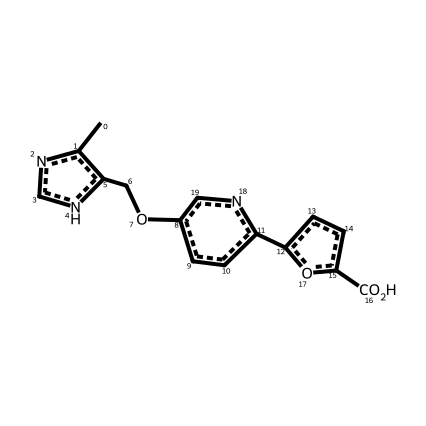 Cc1nc[nH]c1COc1ccc(-c2ccc(C(=O)O)o2)nc1